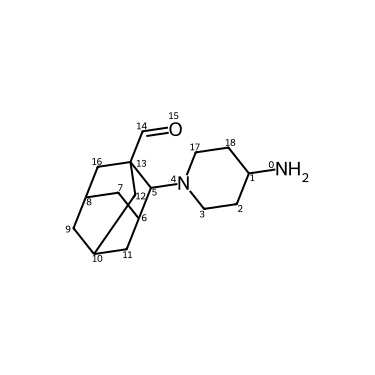 NC1CCN(C2C3CC4CC(C3)CC2(C=O)C4)CC1